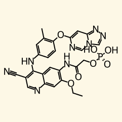 CCOc1cc2ncc(C#N)c(Nc3ccc(Oc4cc5nncn5cn4)c(C)c3)c2cc1NC(=O)COP(=O)(O)O